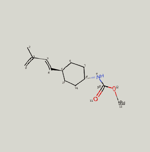 C=C(C)C=C[C@H]1CC[C@H](NC(=O)OC(C)(C)C)CC1